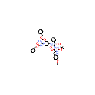 CCOc1ccc(CC(NC(=O)OC(C)(C)C)C(=O)N[C@@H](C(=O)NC2CCN(C(=NC(=O)OCc3ccccc3)NC(=O)OCc3ccccc3)CC2)[C@H](O)c2ccccc2)cc1